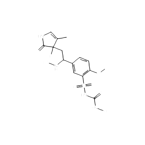 CCNC(=S)NS(=O)(=O)c1cc(C(CC2(CC)C(=O)NC=C2C)NC=O)ccc1OCC